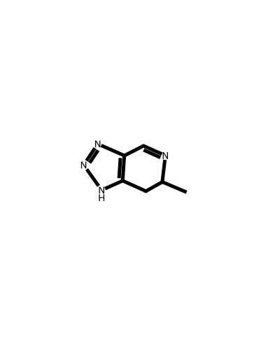 CC1Cc2[nH]nnc2C=N1